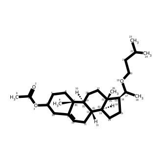 CC(=O)OC1CC[C@@]2(C)C(=CC[C@H]3[C@@H]4CC[C@H](C(C)OCCC(C)C)[C@@]4(C)CC[C@@H]32)C1